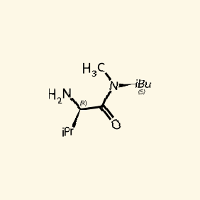 CC[C@H](C)N(C)C(=O)[C@H](N)C(C)C